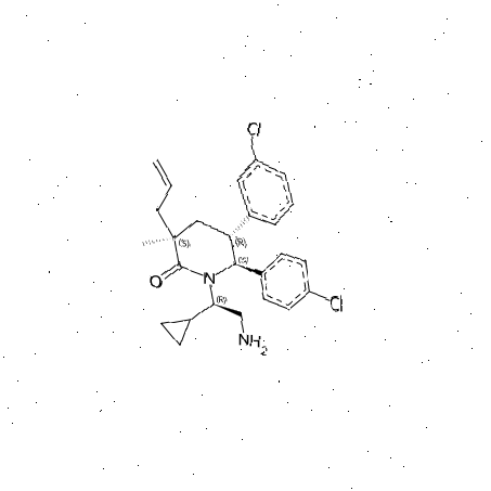 C=CC[C@@]1(C)C[C@H](c2cccc(Cl)c2)[C@@H](c2ccc(Cl)cc2)N([C@@H](CN)C2CC2)C1=O